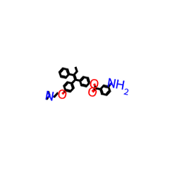 CCC(=C(c1ccc(OCCN(C)C)cc1)c1ccc(OC(=O)c2cccc(N)c2)cc1)c1ccccc1